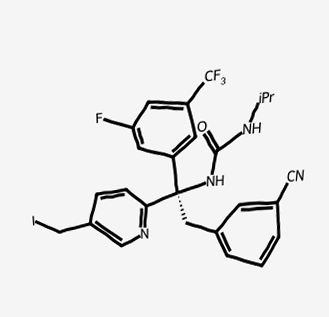 CC(C)NC(=O)N[C@](Cc1cccc(C#N)c1)(c1cc(F)cc(C(F)(F)F)c1)c1ccc(CI)cn1